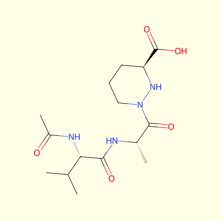 CC(=O)N[C@H](C(=O)N[C@@H](C)C(=O)N1CCC[C@@H](C(=O)O)N1)C(C)C